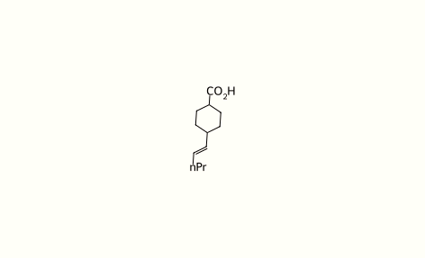 CCCC=CC1CCC(C(=O)O)CC1